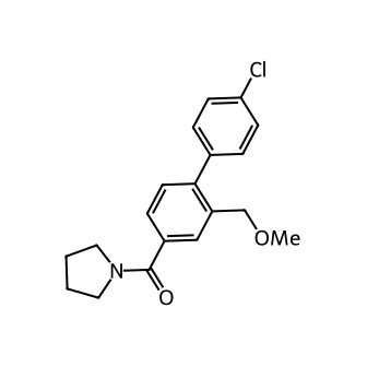 COCc1cc(C(=O)N2CCCC2)ccc1-c1ccc(Cl)cc1